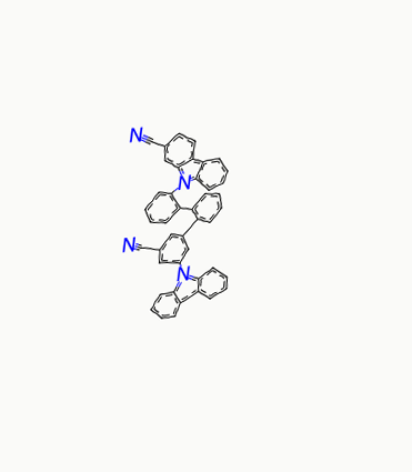 N#Cc1cc(-c2ccccc2-c2ccccc2-n2c3ccccc3c3ccc(C#N)cc32)cc(-n2c3ccccc3c3ccccc32)c1